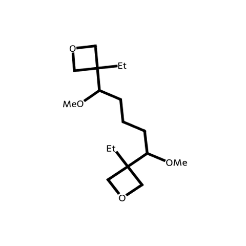 CCC1(C(CCCC(OC)C2(CC)COC2)OC)COC1